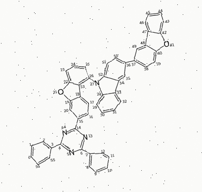 c1ccc(-c2nc(-c3ccccc3)nc(-c3ccc4c(c3)oc3cccc(-n5c6ccccc6c6cc(-c7ccc8oc9ccccc9c8c7)ccc65)c34)n2)cc1